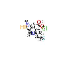 COC1=C(OCl)CC2C(=C1)C1=CN(C)PC=C1[C@H](C)N=C2c1ccc(F)cc1